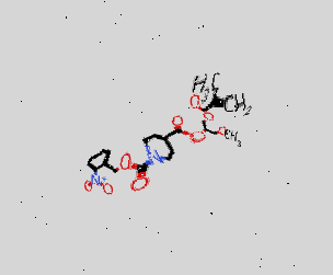 C=C(C)C(=O)OCC(COC)OC(=O)C1CCN(C(=O)OCc2ccccc2[N+](=O)[O-])CC1